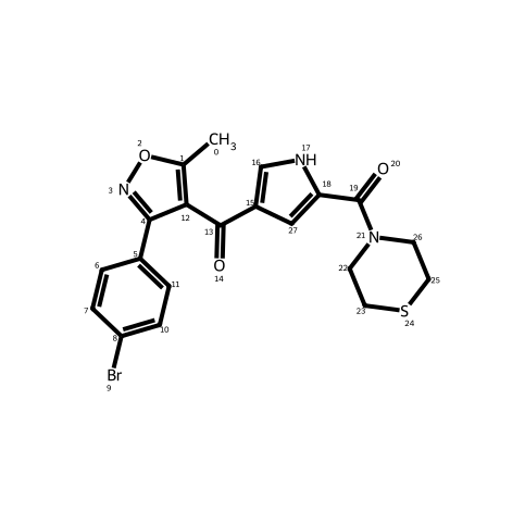 Cc1onc(-c2ccc(Br)cc2)c1C(=O)c1c[nH]c(C(=O)N2CCSCC2)c1